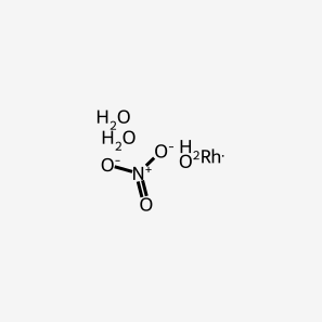 O.O.O.O=[N+]([O-])[O-].[Rh]